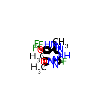 CNc1nnc(Nc2nc(N3C[C@@H](C)O[C@@H](C)C3)ncc2F)cc1-c1ccc(OC(F)(F)F)cc1